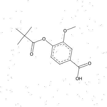 COc1cc(C(=O)O)ccc1OC(=O)C(C)(C)C